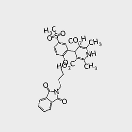 CC1=C(C(=O)O)C(c2cc(S(C)(=O)=O)ccc2OCCCCN2C(=O)c3ccccc3C2=O)C(C(=O)O)=C(C)N1